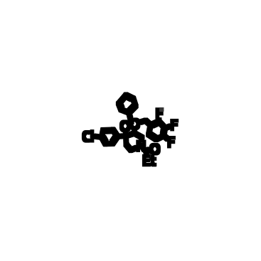 CCC(=O)N1CCC(OCc2ccccc2)(c2ccc(Cl)cc2)C(OCc2ccc(F)c(F)c2F)C1